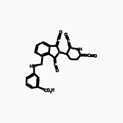 O=C=C1CCC(n2c(=C=O)c3cccc(CNc4cccc(C(=O)O)c4)c3c2=C=O)C(=C=O)N1